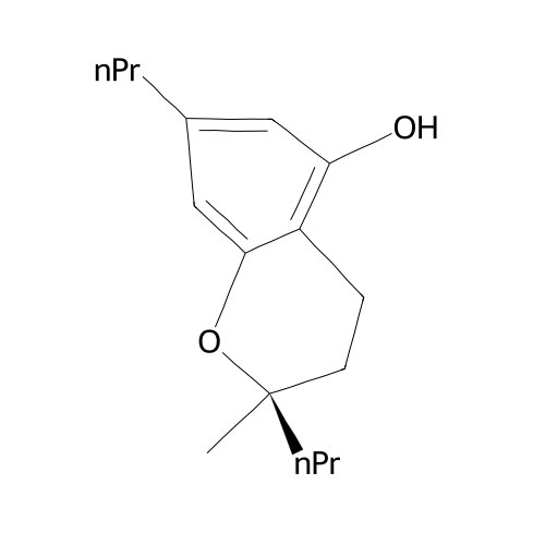 CCCc1cc(O)c2c(c1)O[C@](C)(CCC)CC2